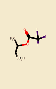 O=C(OC(CS(=O)(=O)O)C(F)(F)F)C(I)(I)I